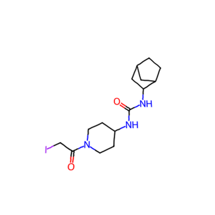 O=C(NC1CCN(C(=O)CI)CC1)NC1CC2CCC1C2